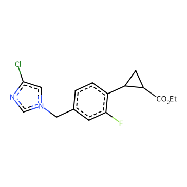 CCOC(=O)C1CC1c1ccc(Cn2cnc(Cl)c2)cc1F